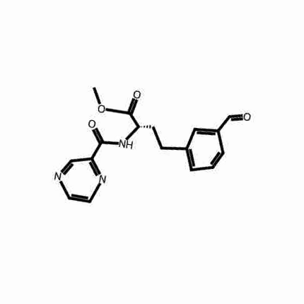 COC(=O)[C@H](CCc1cccc(C=O)c1)NC(=O)c1cnccn1